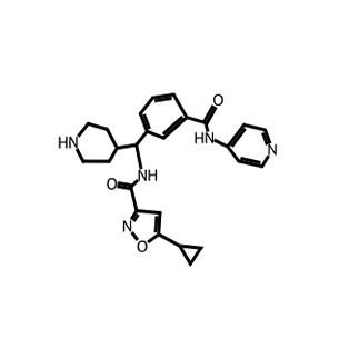 O=C(Nc1ccncc1)c1cccc(C(NC(=O)c2cc(C3CC3)on2)C2CCNCC2)c1